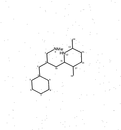 CNCC(CC1CCCCC1)CC1NC(C)CCC1C